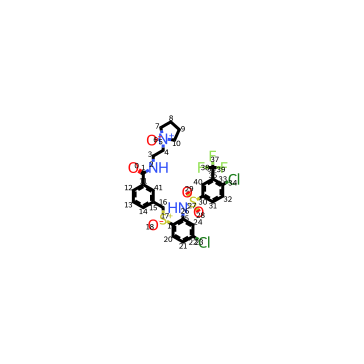 O=C(NCC[N+]1([O-])CCCC1)c1cccc(C[S+]([O-])c2ccc(Cl)cc2NS(=O)(=O)c2ccc(Cl)c(C(F)(F)F)c2)c1